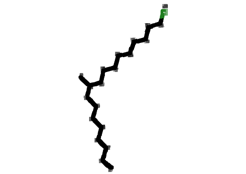 CCCCCCCCC(C)CCCCCCCCCCl